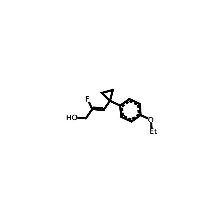 CCOc1ccc(C2(C=C(F)CO)CC2)cc1